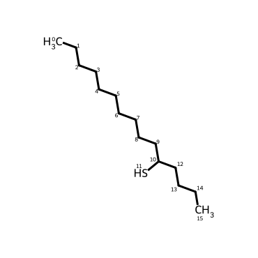 CCCCCCCCCCC(S)CCCC